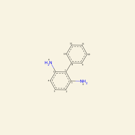 Nc1cccc(N)c1-c1ccccc1